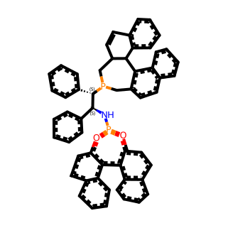 C1=CC2CP([C@@H](c3ccccc3)[C@@H](Np3oc4ccc5ccccc5c4c4c(ccc5ccccc54)o3)c3ccccc3)Cc3ccc4ccccc4c3C2c2ccccc21